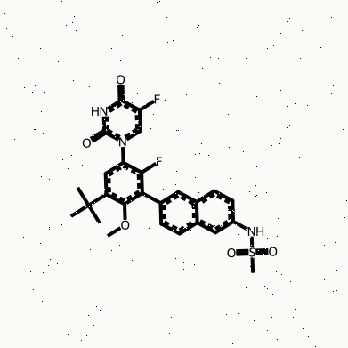 COc1c(C(C)(C)C)cc(-n2cc(F)c(=O)[nH]c2=O)c(F)c1-c1ccc2cc(NS(C)(=O)=O)ccc2c1